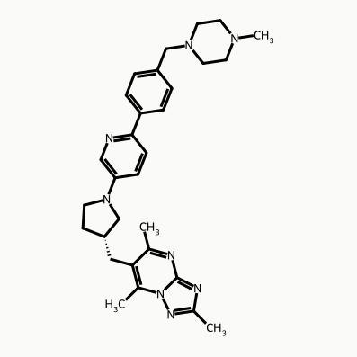 Cc1nc2nc(C)c(C[C@@H]3CCN(c4ccc(-c5ccc(CN6CCN(C)CC6)cc5)nc4)C3)c(C)n2n1